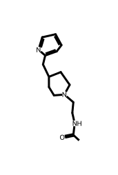 CC(=O)NCCN1CCC(Cc2ccccn2)CC1